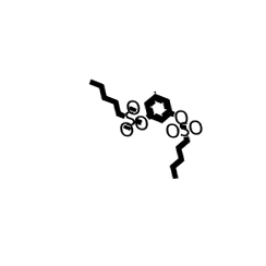 CCCCCS(=O)(=O)Oc1c[c]cc(OS(=O)(=O)CCCCC)c1